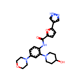 O=C(Nc1ccc(N2CCOCC2)cc1N1CCC(O)CC1)c1ccc(-c2cn[nH]c2)o1